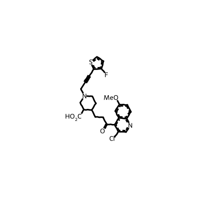 COc1ccc2ncc(Cl)c(C(=O)CCC3CCN(CC#Cc4sccc4F)CC3C(=O)O)c2c1